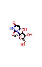 N#C[C@@]1(n2ccc(=O)[nH]c2=O)O[C@H](CO)[C@@H](O)C1O